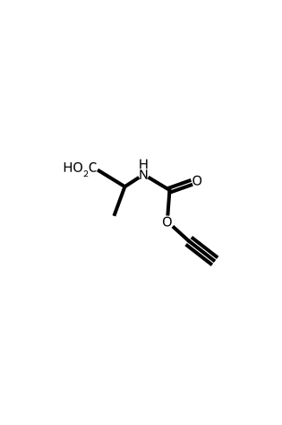 C#COC(=O)NC(C)C(=O)O